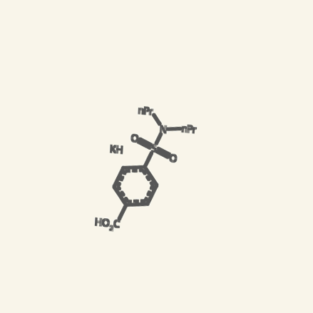 CCCN(CCC)S(=O)(=O)c1ccc(C(=O)O)cc1.[KH]